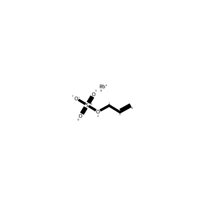 C=CCOS(=O)(=O)[O-].[Rb+]